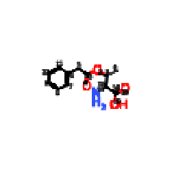 C[C@@H](OC(=O)Cc1ccccc1)[C@H](N)C(=O)O